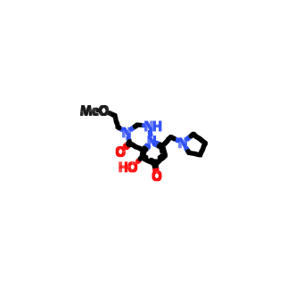 COCCN1CNn2c(CN3CCCC3)cc(=O)c(O)c2C1=O